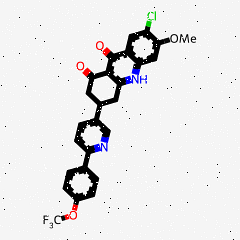 COc1cc2[nH]c3c(c(=O)c2cc1Cl)C(=O)CC(c1ccc(-c2ccc(OC(F)(F)F)cc2)nc1)C3